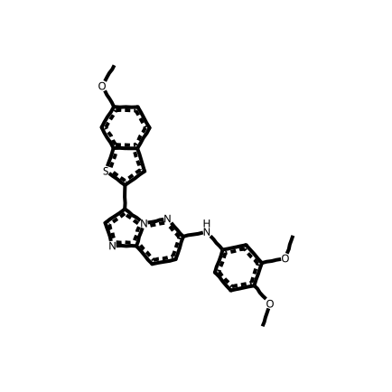 COc1ccc2cc(-c3cnc4ccc(Nc5ccc(OC)c(OC)c5)nn34)sc2c1